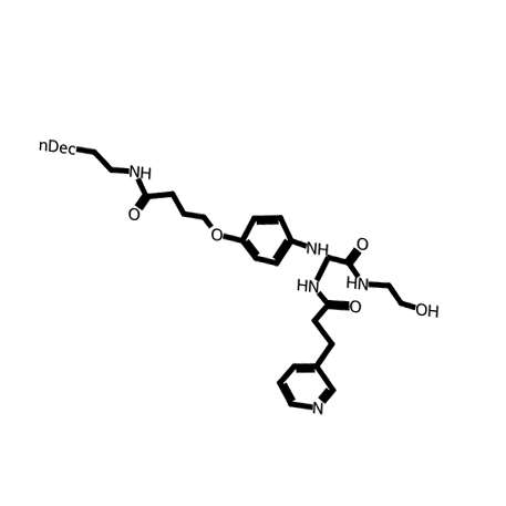 CCCCCCCCCCCCNC(=O)CCCOc1ccc(NC(NC(=O)CCc2cccnc2)C(=O)NCCO)cc1